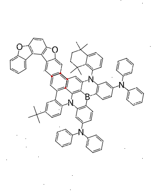 CC(C)(C)c1ccc(N2c3cc(N(c4ccccc4)c4ccccc4)ccc3B3c4ccc(N(c5ccccc5)c5ccccc5)cc4N(c4cccc5c4C(C)(C)CCC5(C)C)c4cc(-c5ccc6c(c5)oc5ccc7oc8ccccc8c7c56)cc2c43)c(-c2ccccc2)c1